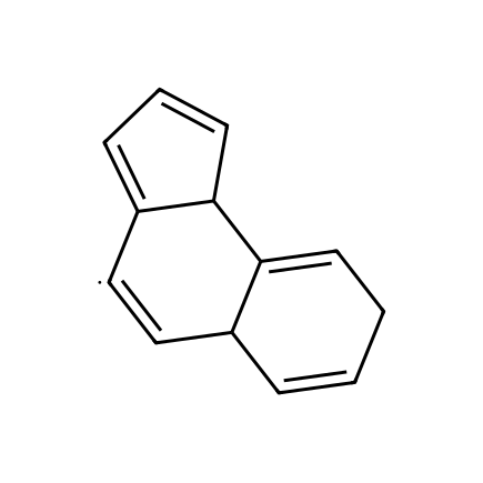 [C]1=CC2C=CCC=C2C2C=CC=C12